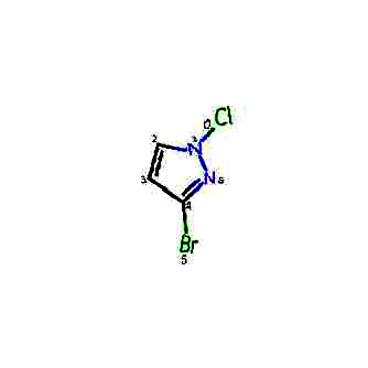 Cln1ccc(Br)n1